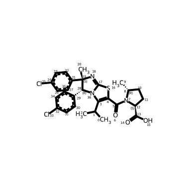 CC(C)C1=C(C(=O)N2[C@H](C)CC[C@H]2C(=O)O)SC2=N[C@@](C)(c3ccc(Cl)cc3)[C@@H](c3ccc(Cl)cc3)N21